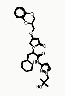 CC(C)(O)Cn1ccc(NC(=O)C(CC2CCCCC2)N2CC(OCC3COc4ccccc4O3)=CC2=O)n1